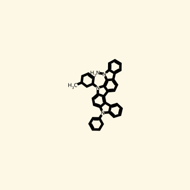 CC1CC=CC(n2c3ccc4c(c5ccccc5n4C4=CC=CCC4)c3c3ccc4c5ccccc5n(N)c4c32)C1